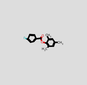 Cc1cc(C)c(OC(=O)c2ccc(F)cc2)c(C)c1